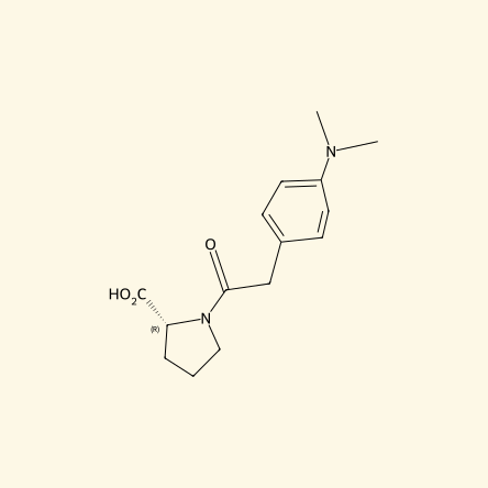 CN(C)c1ccc(CC(=O)N2CCC[C@@H]2C(=O)O)cc1